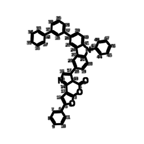 O=C1Oc2oc(-c3ccccc3)cc2C2=NC=C(c3ccc4c(c3)c3cc(-c5cccc(-c6ccccc6)c5)ccc3n4-c3ccccc3)C12